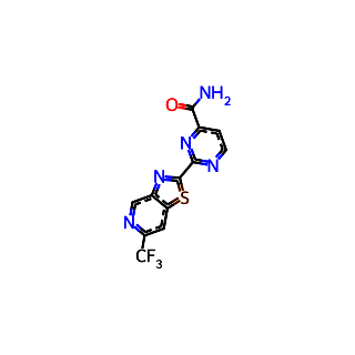 NC(=O)c1ccnc(-c2nc3cnc(C(F)(F)F)cc3s2)n1